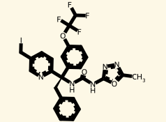 Cc1nnc(NC(=O)N[C@@](Cc2ccccc2)(c2cccc(OC(F)(F)C(F)F)c2)c2ccc(CI)cn2)o1